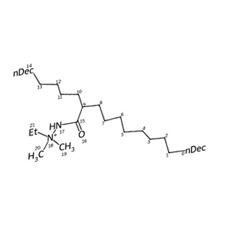 CCCCCCCCCCCCCCCCCCC(CCCCCCCCCCCCCC)C(=O)N[N+](C)(C)CC